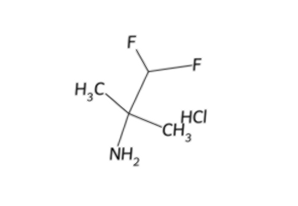 CC(C)(N)C(F)F.Cl